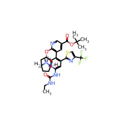 CCNC(=O)Nc1cc(-c2nc(C(F)(F)F)cs2)c(-c2cc(C(=O)OC(C)(C)C)cnc2O[C@@H]2C[C@H]3CC[C@@H](C2)N3C)cn1